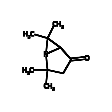 CC1(C)CC(=O)C2N1C2(C)C